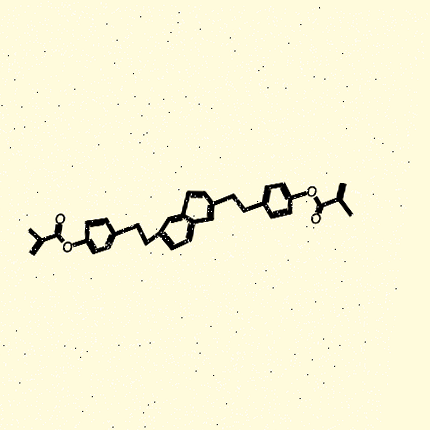 C=C(C)C(=O)Oc1ccc(CCc2ccc3cc(CCc4ccc(OC(=O)C(=C)C)cc4)ccc3c2)cc1